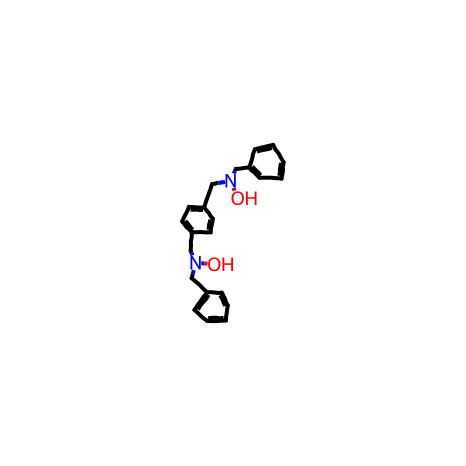 ON(Cc1ccccc1)Cc1ccc(CN(O)Cc2ccccc2)cc1